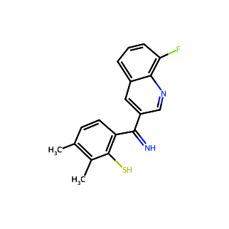 Cc1ccc(C(=N)c2cnc3c(F)cccc3c2)c(S)c1C